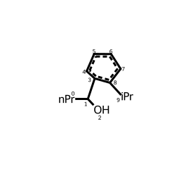 CCCC(O)c1ccccc1C(C)C